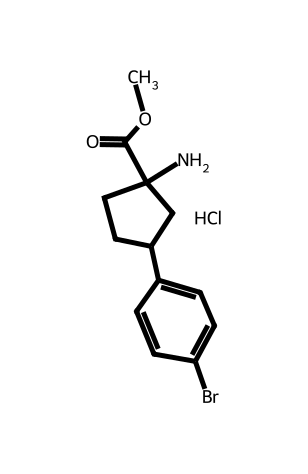 COC(=O)C1(N)CCC(c2ccc(Br)cc2)C1.Cl